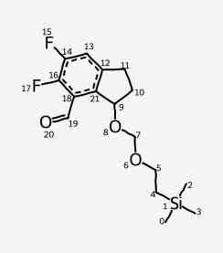 C[Si](C)(C)CCOCOC1CCc2cc(F)c(F)c(C=O)c21